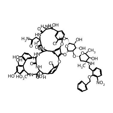 C[C@@H]1O[C@@H](O[C@H]2[C@H](Oc3c4cc5cc3Oc3ccc(cc3Cl)[C@@H](O)[C@@H](N)C(=O)N[C@@H](CC(N)=O)C(=O)NC5C(=O)N[C@H]3C(=O)N[C@H](C(=O)N[C@@H](C(=O)O)c5cc(O)cc(O)c5-c5cc3ccc5O)[C@H](O)c3ccc(c(Cl)c3)O4)O[C@H](CO)[C@@H](O)[C@@H]2O)C[C@](C)(NCc2cccc([N+](=O)[O-])c2OCc2ccccc2)[C@@H]1O